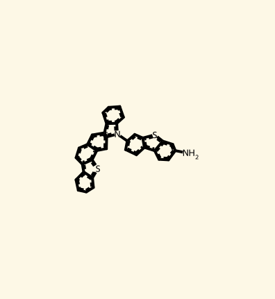 Nc1ccc2c(c1)sc1cc(-n3c4ccccc4c4cc5ccc6c7ccccc7sc6c5cc43)ccc12